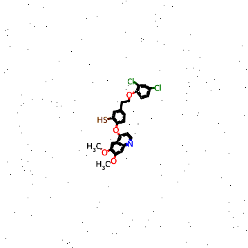 COc1cc2nccc(Oc3ccc(CCOc4ccc(Cl)cc4Cl)cc3S)c2cc1OC